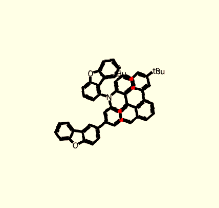 CC(C)(C)c1cc(-c2cccc3cccc(-c4ccccc4N(c4cccc(-c5ccc6oc7ccccc7c6c5)c4)c4cccc5oc6ccccc6c45)c23)cc(C(C)(C)C)c1